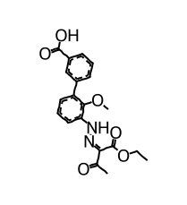 CCOC(=O)C(=NNc1cccc(-c2cccc(C(=O)O)c2)c1OC)C(C)=O